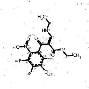 CCN/C=C(/C(=O)OCC)C(=O)c1c(F)c(C)c(F)c(F)c1[N+](=O)[O-]